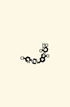 O=C1CCC(N2Cc3cc(CN4CCN(c5ccc(Cl)cn5)CC4)ccc3C2=O)C(=O)N1